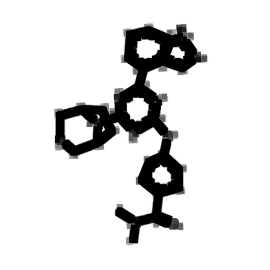 CN(C)C(=O)c1ccc(Oc2nc(-c3cccc4[nH]ncc34)nc(N3C4CCC3COC4)n2)cc1